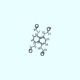 O=CCc1ccc(CC=O)c2c(CC=O)ccc(CC=O)c12